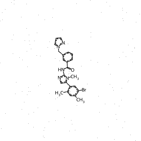 Cc1cc(C)c(-c2cnc(NC(=O)c3cccc(Cn4cccn4)c3)n2C)cc1Br